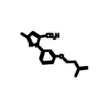 C=C(C)CCOc1cccc(-n2nc(C)cc2C(=O)O)c1